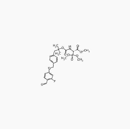 COC(=O)C(NC(=O)OC(C)(C)Cc1ccc(COc2ccc(C=O)c(F)c2)cc1)P(=O)(OC)OC